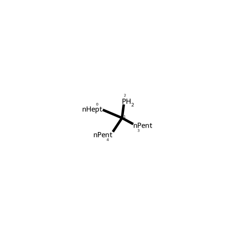 CCCCCCCC(P)(CCCCC)CCCCC